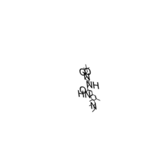 CCN(CC)Cc1c(C)cc2cc(CNC3CN(C(=O)OC(C)(C)C)C3)c(=O)[nH]c2c1C